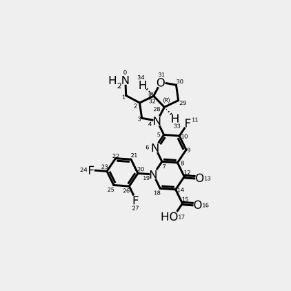 NCC1CN(c2nc3c(cc2F)c(=O)c(C(=O)O)cn3-c2ccc(F)cc2F)[C@@H]2CCO[C@H]12